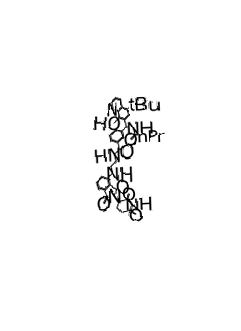 CCCC(=O)NC(c1cccc(C(=O)NCCNc2cccc3c2C(=O)N(C2CCC(=O)NC2=O)C3=O)c1)c1cc(C(C)(C)C)c2cccnc2c1O